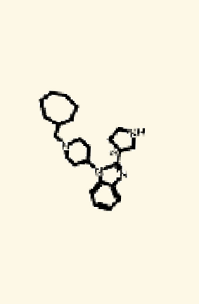 c1ccc2c(c1)nc([C@H]1CCNC1)n2C1CCN(CC2CCCCCC2)CC1